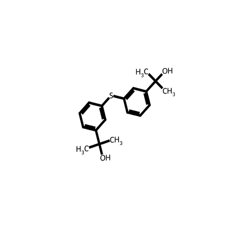 CC(C)(O)c1cccc(Sc2cccc(C(C)(C)O)c2)c1